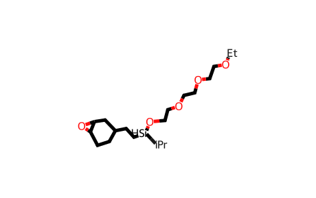 CCOCCOCCOCCO[SiH](CCC1CCC2OC2C1)C(C)C